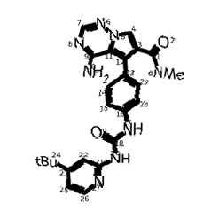 CNC(=O)c1cn2ncnc(N)c2c1-c1ccc(NC(=O)Nc2cc(C(C)(C)C)ccn2)cc1